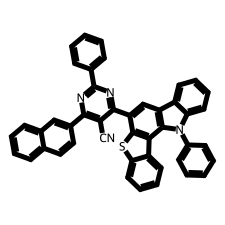 N#Cc1c(-c2ccc3ccccc3c2)nc(-c2ccccc2)nc1-c1cc2c3ccccc3n(-c3ccccc3)c2c2c1sc1ccccc12